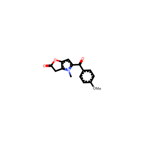 COc1ccc(C(=O)c2cc3c(n2C)CC(=O)O3)cc1